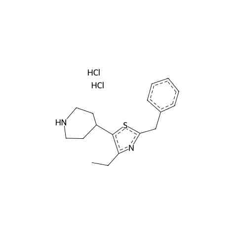 CCc1nc(Cc2ccccc2)sc1C1CCNCC1.Cl.Cl